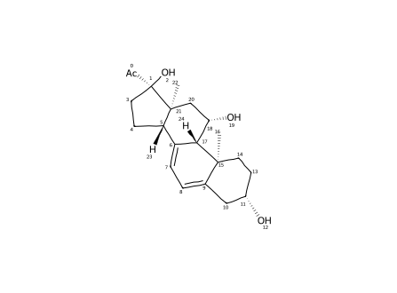 CC(=O)[C@@]1(O)CC[C@H]2C3=CC=C4C[C@@H](O)CC[C@]4(C)[C@H]3[C@@H](O)C[C@@]21C